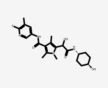 Cc1cc(NC(=O)c2c(C)c(C(O)C(=O)N[C@H]3CC[C@H](O)CC3)n(C)c2C)cnc1F